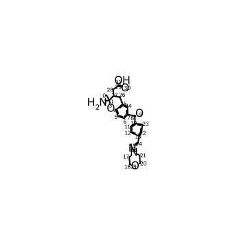 CC1(N)Oc2ccc(C(=O)c3ccc(C=NN4CCOCC4)cc3)cc2CC1CC(=O)O